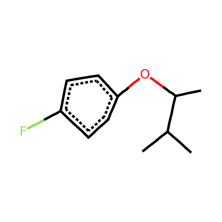 CC(C)C(C)Oc1ccc(F)cc1